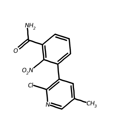 Cc1cnc(Cl)c(-c2cccc(C(N)=O)c2[N+](=O)[O-])c1